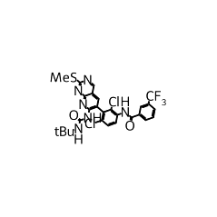 CSc1ncc2cc(-c3c(Cl)ccc(NC(=O)c4cccc(C(F)(F)F)c4)c3Cl)c(NC(=O)NC(C)(C)C)nc2n1